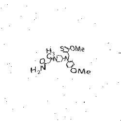 COc1ccc(N(Cc2cscc2OC)C2CCN([C@H](C)CC(N)=O)CC2)cc1